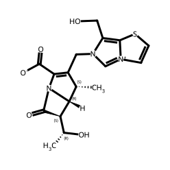 C[C@@H](O)[C@H]1C(=O)N2C(C(=O)[O-])=C(Cn3c[n+]4ccsc4c3CO)[C@H](C)[C@H]12